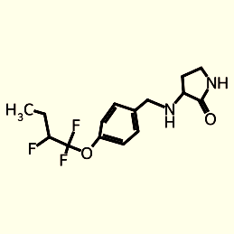 CCC(F)C(F)(F)Oc1ccc(CNC2CCNC2=O)cc1